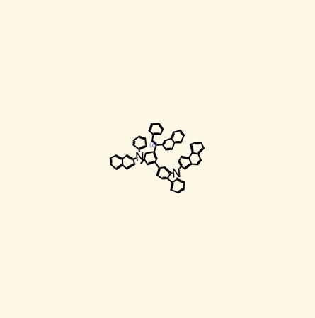 CC1(N(c2ccccc2)c2ccc3ccccc3c2)C=C(c2ccc3c4ccccc4n(-c4ccc5c(ccc6ccccc65)c4)c3c2)C=C(/C(=C/c2ccccc2)c2ccc3ccccc3c2)C1